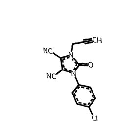 C#CCn1c(C#N)c(C#N)n(-c2ccc(Cl)cc2)c1=O